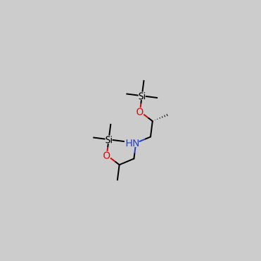 CC(CNC[C@@H](C)O[Si](C)(C)C)O[Si](C)(C)C